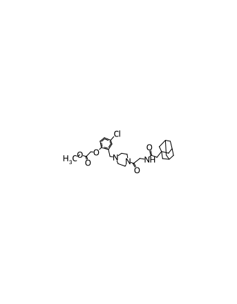 COC(=O)COc1ccc(Cl)cc1CN1CCN(C(=O)CNC(=O)CC23CC4CC(CC(C4)C2)C3)CC1